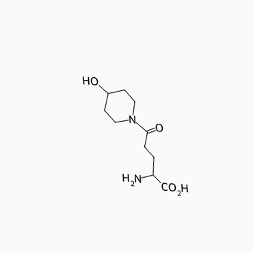 NC(CCC(=O)N1CCC(O)CC1)C(=O)O